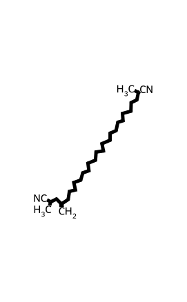 C=C(CCCCCCCCCCCCCCCCCCCCCC(C)C#N)CC(C)C#N